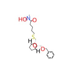 CN(O)C(=O)CCCCSC[C@@H]1[C@H](COCc2ccccc2)[C@@H]2CC[C@H]1O2